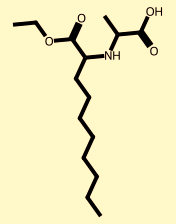 CCCCCCCCC(NC(C)C(=O)O)C(=O)OCC